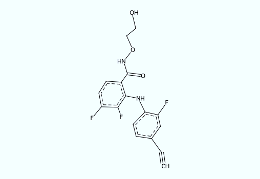 C#Cc1ccc(Nc2c(C(=O)NOCCO)ccc(F)c2F)c(F)c1